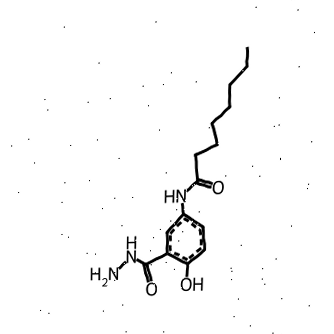 CCCCCCCC(=O)Nc1ccc(O)c(C(=O)NN)c1